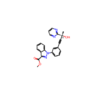 COC(=O)c1nn(-c2cccc(C#C[C@@](C)(O)c3ncccn3)c2)c2ccccc12